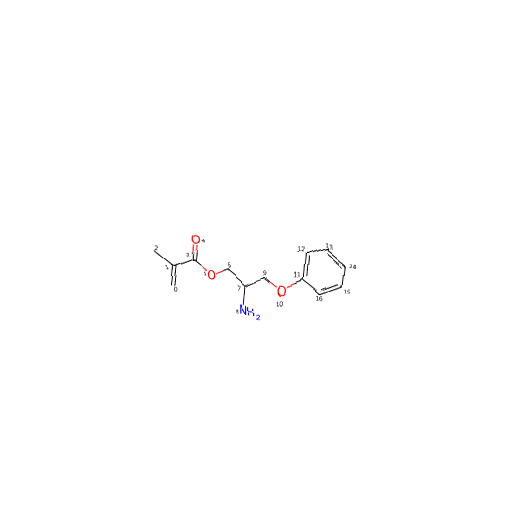 C=C(C)C(=O)OCC(N)COc1ccccc1